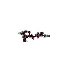 CC(C)C[C@H](NC(=O)[C@@H]1Cc2cccc(c2)-c2ccc(O)c(c2)C[C@H](NC(=O)OC(C)(C)C)C(=O)N[C@@H](C[C@@H](O)CNC(=O)OC(C)(C)C)C(=O)N1)C(=O)NCCCC[C@H](NC(=O)OC(C)(C)C)C(=O)NC[C@H](CCCNC(=O)OC(C)(C)C)NC(=O)OC(C)(C)C